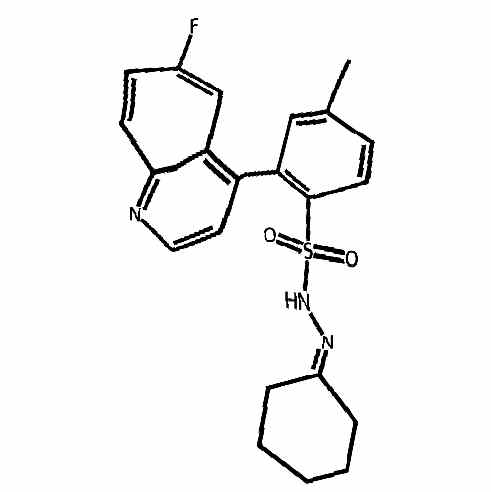 Cc1ccc(S(=O)(=O)NN=C2CCCCC2)c(-c2ccnc3ccc(F)cc23)c1